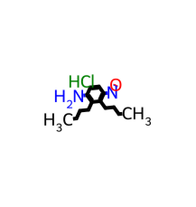 CCCCc1c(N)ccc(N=O)c1CCCC.Cl